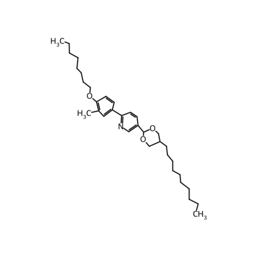 CCCCCCCCCCC1COC(c2ccc(-c3ccc(OCCCCCCCC)c(C)c3)nc2)OC1